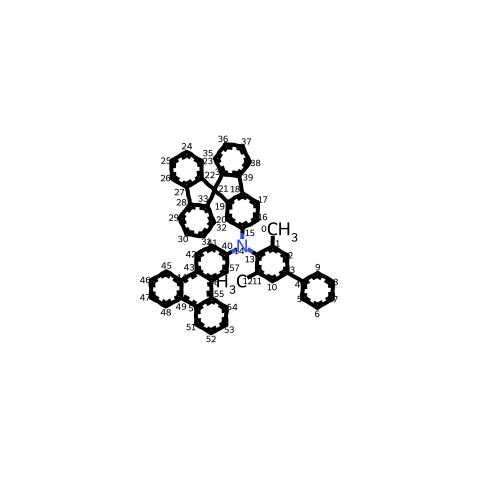 Cc1cc(-c2ccccc2)cc(C)c1N(c1ccc2c(c1)C1(c3ccccc3-c3ccccc31)c1ccccc1-2)c1ccc2c3ccccc3c3ccccc3c2c1